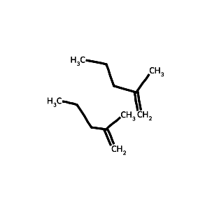 C=C(C)CCC.C=C(C)CCC